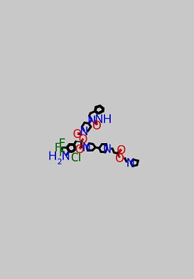 Nc1c(Cl)cc(C[C@@H](OC(=O)N2CCC(N3CCc4ccccc4NC3=O)CC2)C(=O)N2CCC(C3CCN(CCC(=O)OCCN4CCCC4)CC3)CC2)cc1C(F)(F)F